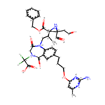 Cc1cc(OCCCc2ccc3c(c2)C(=O)NCC(=O)N3CC(C)[C@@]2(C(=O)OCc3ccccc3)NC2(C=O)CC=O)nc(N)n1.O=C(O)C(F)(F)F